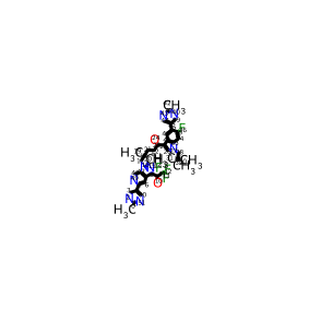 Cc1ncc(-c2cc3c(C(=O)C(F)(F)F)nn(CC(C)(C)CCC(=O)c4cn(CC(C)(C)C)c5cc(F)c(-c6cnc(C)nc6)cc45)c3cn2)cn1